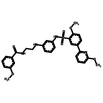 COc1cccc(C(=O)NCCNc2cccc(NS(=O)(=O)c3cc(-c4cccc(OC)n4)ccc3OC)c2)c1